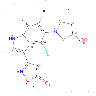 O=c1[nH]c(-c2c[nH]c3cc(F)c(N4CC[C@H](O)C4)c(F)c23)no1